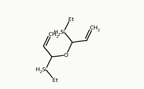 C=CC(OC(C=C)[SiH2]CC)[SiH2]CC